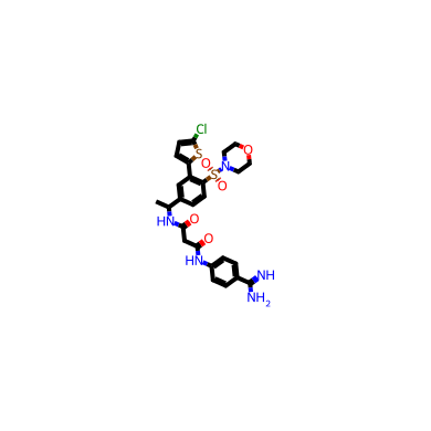 CC(NC(=O)CC(=O)Nc1ccc(C(=N)N)cc1)c1ccc(S(=O)(=O)N2CCOCC2)c(-c2ccc(Cl)s2)c1